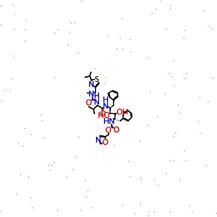 CC(C)c1nc(CN(C)C(=O)N[C@H](C(=O)N[C@@H](Cc2ccccc2)[C@@H](O)[C@@H](O)[C@H](Cc2ccccc2)NC(=O)OCc2cnco2)C(C)C)cs1